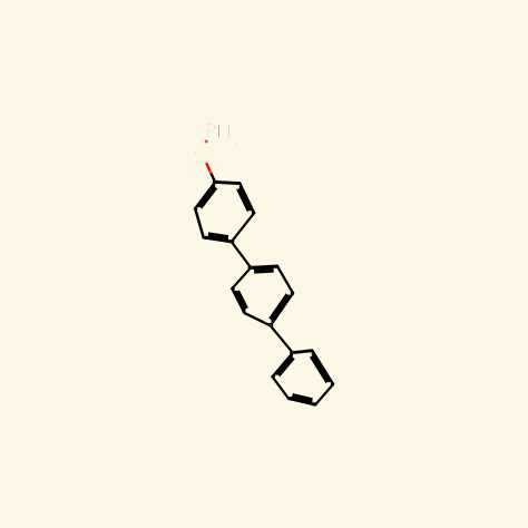 POc1ccc(-c2ccc(-c3ccccc3)cc2)cc1